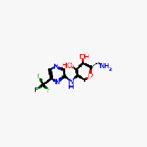 NC[C@@H]1OCC(Nc2cncc(C(F)(F)F)n2)C(O)C1O